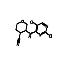 N#CC1CCOCC1Nc1nc(Cl)ncc1Cl